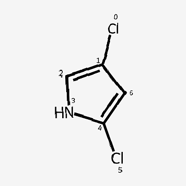 Clc1[c][nH]c(Cl)c1